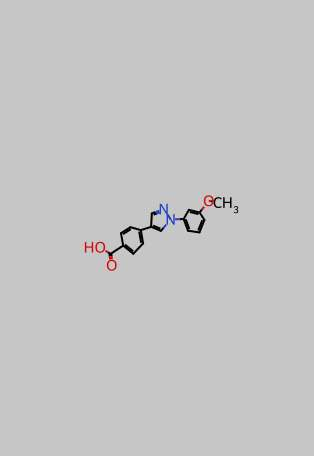 COc1cccc(-n2cc(-c3ccc(C(=O)O)cc3)cn2)c1